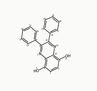 Oc1ccc(O)c2nc(-c3ccccc3)c(-c3ccccc3)nc12